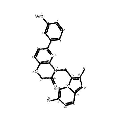 COc1cccc(-c2ccc3c(n2)N(Cc2c(C)nc4ccc(Br)cn24)C(=O)CO3)c1